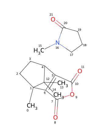 CC12CCC(C3=C1C(=O)OC3=O)C2(C)C.CN1CCCC1=O